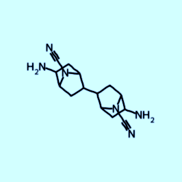 N#CN1C2CC(C3CC4C(N)CC3N4C#N)C1CC2N